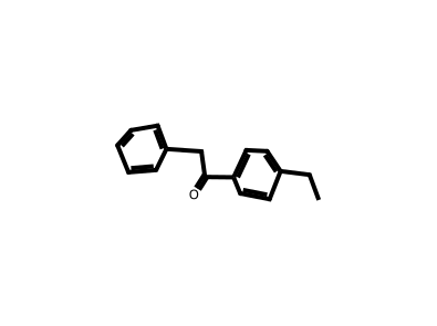 CCc1ccc(C(=O)Cc2ccccc2)cc1